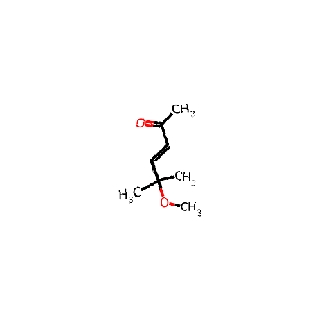 COC(C)(C)/C=C/C(C)=O